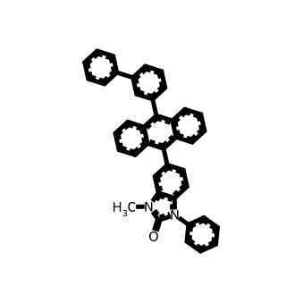 Cn1c(=O)n(-c2ccccc2)c2ccc(-c3c4ccccc4c(-c4cccc(-c5ccccc5)c4)c4ccccc34)cc21